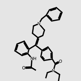 CCN(CC)C(=O)c1ccc(C(=C2CCN(Cc3ccccc3)CC2)c2ccccc2NC(C)=O)cc1